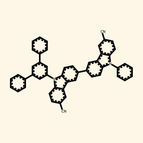 N#Cc1ccc2c(c1)c1cc(-c3ccc4c(c3)c3cc(C#N)ccc3n4-c3cc(-c4ccccc4)cc(-c4ccccc4)c3)ccc1n2-c1ccccc1